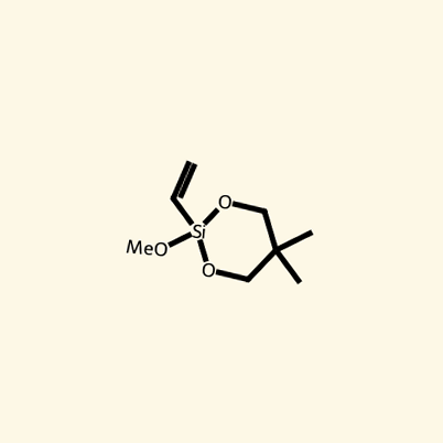 C=C[Si]1(OC)OCC(C)(C)CO1